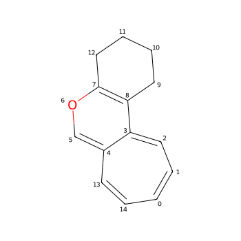 C1=CC=C2C(=COC3=C2CCCC3)C=C1